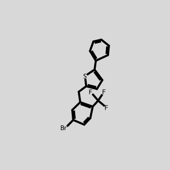 FC(F)(F)c1ccc(Br)cc1Cc1ccc(-c2ccccc2)s1